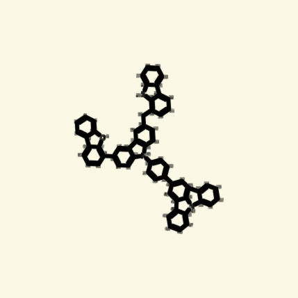 c1ccc2c(c1)oc1c(-c3ccc4c(c3)c3cc(Cc5cccc6c5sc5ccccc56)ccc3n4-c3ccc(-c4cc5c6ccccc6n6c7ccccc7c(c4)c56)cc3)cccc12